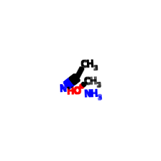 CC#N.CO.N